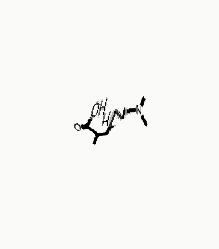 CC(CNN(C)C)C(=O)O